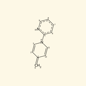 C=C1C=CN(c2ccccn2)C=C1